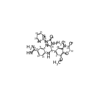 COc1cc(C(Nc2ccc(C(=N)N)cc2)c2nn(-c3ncccn3)c(=O)[nH]2)cc2c1OCC(=O)N2C